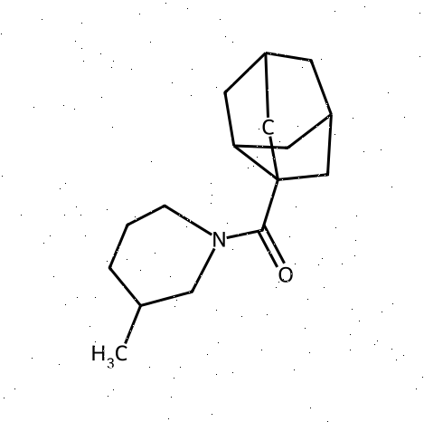 CC1CCCN(C(=O)C23CC4CC(CC2C4)C3)C1